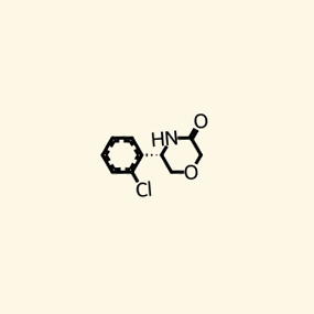 O=C1COC[C@H](c2ccccc2Cl)N1